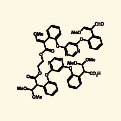 CO/C=C(/C=O)c1ccccc1Oc1cc(Oc2ccccc2/C(=C\OC)C(=O)OCCOC(=O)C(c2ccccc2Oc2cc(Oc3ccccc3C(C(=O)O)C(OC)OC)ncn2)C(OC)OC)ncn1